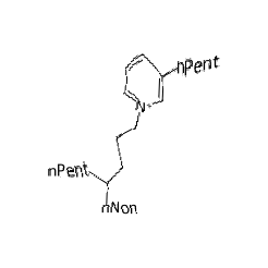 CCCCCCCCCC(CCCCC)CCC[n+]1cccc(CCCCC)c1